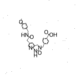 COc1ccc(CNC(=O)Cc2cnc3c(c2)CN(Cc2ccc(C(=O)O)cc2)C(=O)N3)cc1